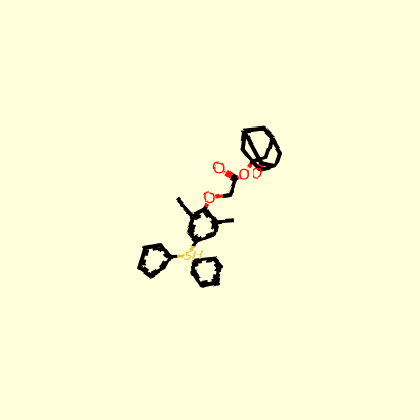 Cc1cc([SH](c2ccccc2)c2ccccc2)cc(C)c1OCC(=O)OC12CC3CC(C1)C(=O)C(C3)C2